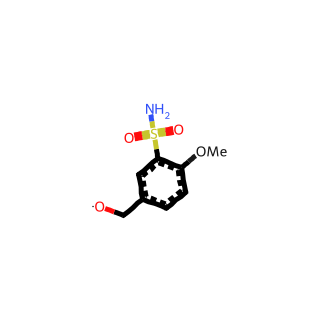 COc1ccc(C[O])cc1S(N)(=O)=O